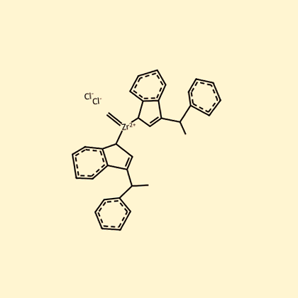 [CH2]=[Zr+2]([CH]1C=C(C(C)c2ccccc2)c2ccccc21)[CH]1C=C(C(C)c2ccccc2)c2ccccc21.[Cl-].[Cl-]